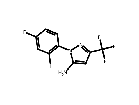 Nc1cc(C(F)(F)F)nn1-c1ccc(F)cc1I